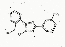 Cn1nc(-c2cccc([N+](=O)[O-])c2)nc1-c1ccccc1CO